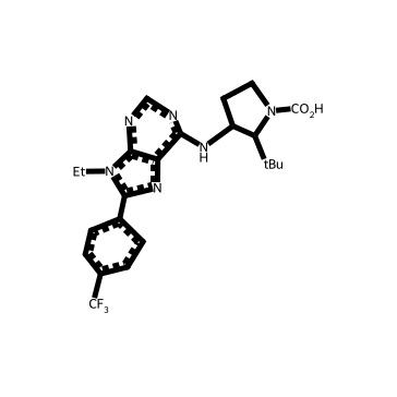 CCn1c(-c2ccc(C(F)(F)F)cc2)nc2c(NC3CCN(C(=O)O)C3C(C)(C)C)ncnc21